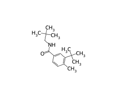 Cc1ccc(C(=O)NCC(C)(C)C)cc1C(C)(C)C